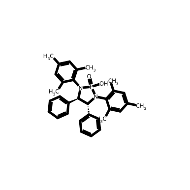 Cc1cc(C)c(N2[C@H](c3ccccc3)[C@@H](c3ccccc3)N(c3c(C)cc(C)cc3C)P2(=O)O)c(C)c1